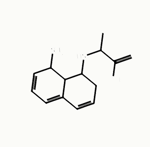 C=C(O)C(C)NC1CC=CC2=CC=CC(N)C21